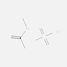 CNC(C)=O.O=S(=O)(O)O